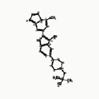 Cc1cc(-c2[nH]c3ccc(C4CCN(CC(C)(C)O)CC4)cc3c2C(C)C)cc2nccn12